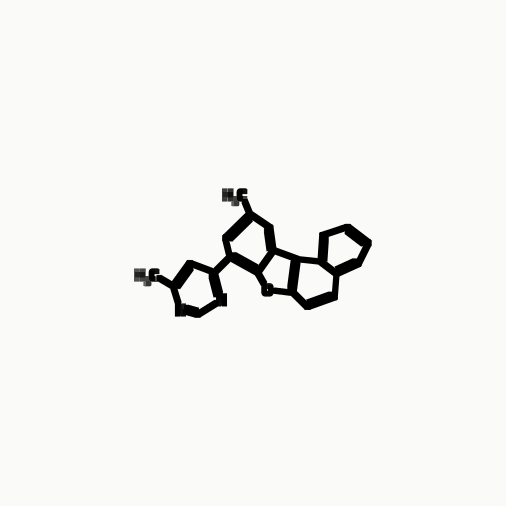 Cc1cc(-c2cc(C)ncn2)c2oc3ccc4ccccc4c3c2c1